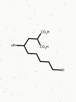 CCCC(CCCCCC(C)C)CC(C(=O)O)C(=O)O